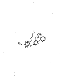 CCCCCCn1nc(CC=S)nc1Cc1ccc(-c2ccccc2C(=O)O)cc1